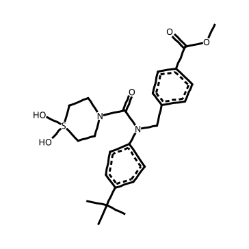 COC(=O)c1ccc(CN(C(=O)N2CCS(O)(O)CC2)c2ccc(C(C)(C)C)cc2)cc1